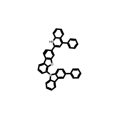 c1c(C2=CC(c3ccccc3)=C3C=CC=CC3N2)cc2oc3c(-n4c5ccccc5c5cc(-c6ccccc6)ccc54)cccc3c2c#1